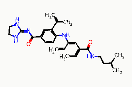 C=C/C(=C\C(=C/C)C(=O)NCCC(C)C)Nc1ccc(C(=O)N=C2NCCN2)cc1C(=C)C